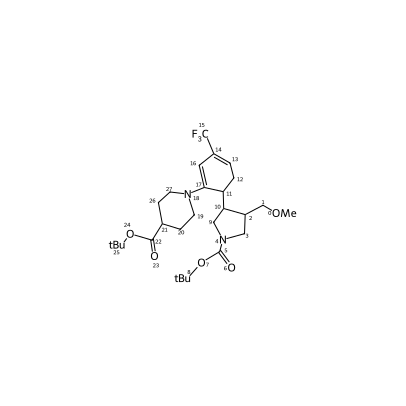 COCC1CN(C(=O)OC(C)(C)C)CC1C1CC=C(C(F)(F)F)C=C1N1CCC(C(=O)OC(C)(C)C)CC1